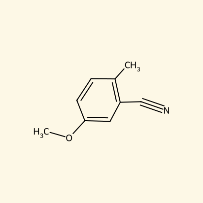 COc1ccc(C)c(C#N)c1